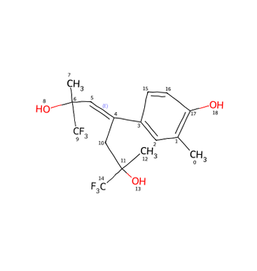 Cc1cc(/C(=C/C(C)(O)C(F)(F)F)CC(C)(O)C(F)(F)F)ccc1O